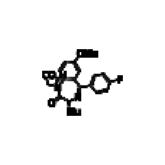 CC[C@H](C)C1N=C(c2ccc(F)cc2)c2cc(OC)ccc2N(CC(=O)O)C1=O